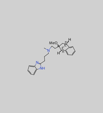 CO[C@@]1(CCN(C)CCCc2nc3ccccc3[nH]2)C[C@H]2CC[C@@H]1c1ccccc12